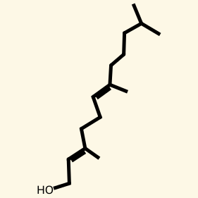 C/C(=C\CO)CC/C=C(\C)CCCC(C)C